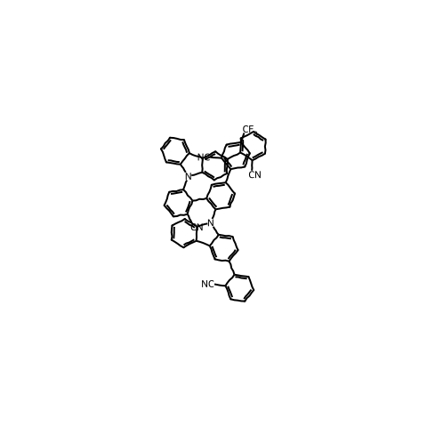 N#Cc1ccccc1-c1ccc2c(c1)c1ccccc1n2-c1ccc(-c2ccc(C(F)(F)F)cc2C#N)cc1-c1c(C#N)cccc1-n1c2ccccc2c2cc(-c3ccccc3C#N)ccc21